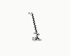 CCCCCCCCCCCCCCCCCCNC(=O)OCC(C)(CO)SC